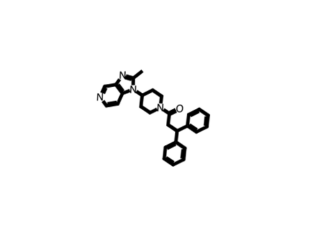 Cc1nc2cnccc2n1C1CCN(C(=O)CC(c2ccccc2)c2ccccc2)CC1